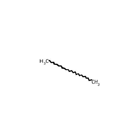 CCCC=CCCCCCCCCCCCCCCCCCCCCCC